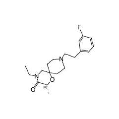 CCN1CC2(CCN(CCc3cccc(F)c3)CC2)O[C@H](C)C1=O